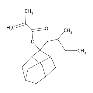 C=C(C)C(=O)OC1(CC(C)CC)C2CC3CC(C2)CC1C3